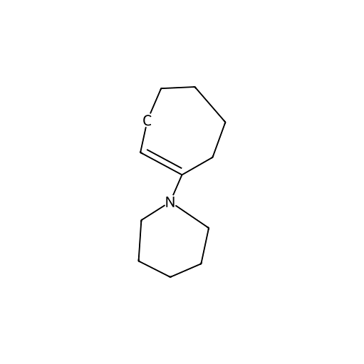 C1=C(N2CCCCC2)CCCCC1